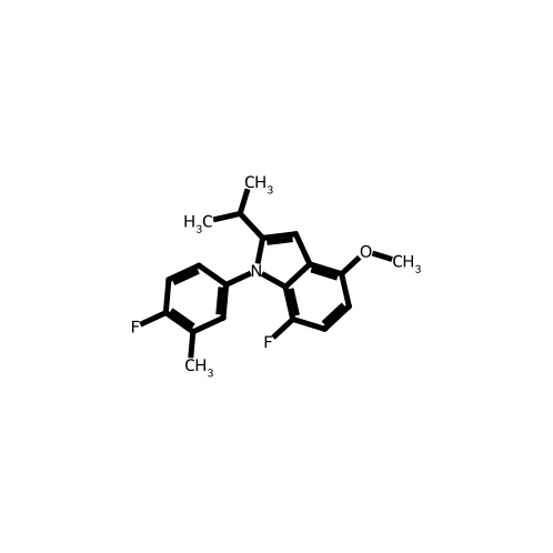 COc1ccc(F)c2c1cc(C(C)C)n2-c1ccc(F)c(C)c1